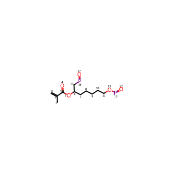 C=C(C)C(=O)OC(CCCCCOP=O)CP=O